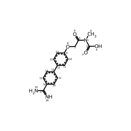 CN(C(=O)O)C(=O)COc1ccc(-c2ccc(C(=N)N)cc2)cc1